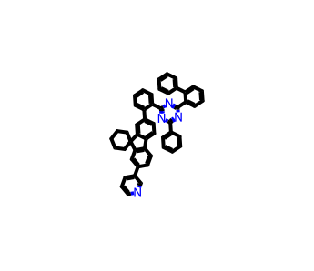 c1ccc(-c2nc(-c3ccccc3-c3ccccc3)nc(-c3ccccc3-c3ccc4c(c3)C3(CCCCC3)c3cc(-c5cccnc5)ccc3-4)n2)cc1